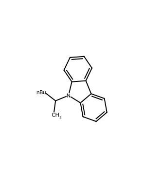 CCCCC(C)n1c2ccccc2c2ccccc21